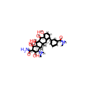 CN(C)C(=O)c1cccc(-c2ccc(O)c3c2C[C@@H]2C[C@@H]4[C@H](N(C)C)C(O)=C(C(N)=O)C(=O)[C@@]4(O)C(O)=C2C3=O)c1